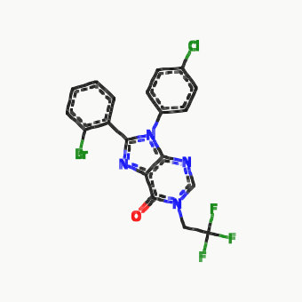 O=c1c2nc(-c3ccccc3Br)n(-c3ccc(Cl)cc3)c2ncn1CC(F)(F)F